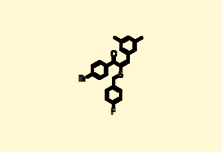 Cc1cc(C)cc(/C=C(/SCc2ccc(F)cc2)C(=O)c2ccc(Br)cc2)c1